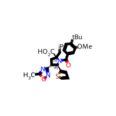 COc1cc(C(=O)N2[C@@H](c3cccs3)[C@H](c3noc(C)n3)C[C@@]2(CC(C)C)C(=O)O)ccc1C(C)(C)C